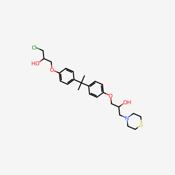 CC(C)(c1ccc(OCC(O)CCl)cc1)c1ccc(OCC(O)CN2CCSCC2)cc1